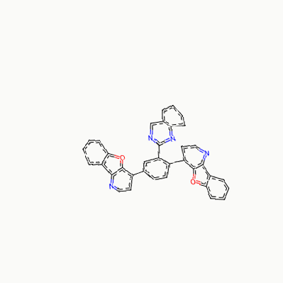 c1ccc2nc(-c3cc(-c4ccnc5c4oc4ccccc45)ccc3-c3ccnc4c3oc3ccccc34)ncc2c1